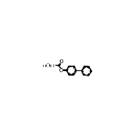 CCCCCCCCC(=O)Oc1ccc(-c2ccccc2)cc1